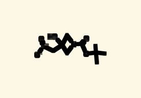 CC(C)(C)OC(=O)N1CC(O)(C[N+](=O)[O-])C1